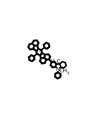 CC12CCCCC1(C)N(c1ccccc1)c1ccc(-c3ccc4c5c(-c6ccccc6)c6c7cccc8cccc(c6c(-c6ccccc6)c5c5cccc3c54)c87)cc12